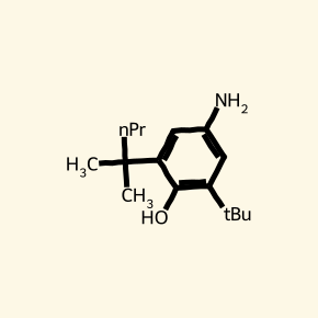 CCCC(C)(C)c1cc(N)cc(C(C)(C)C)c1O